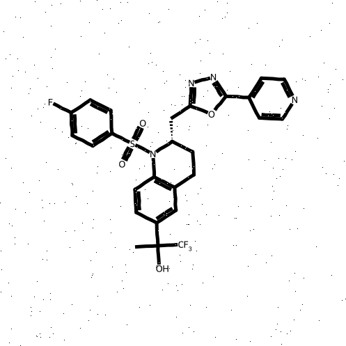 CC(O)(c1ccc2c(c1)CC[C@@H](Cc1nnc(-c3ccncc3)o1)N2S(=O)(=O)c1ccc(F)cc1)C(F)(F)F